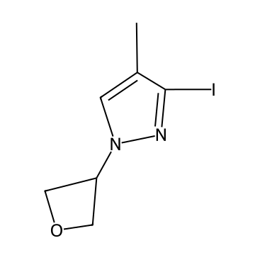 Cc1cn(C2COC2)nc1I